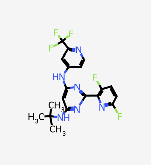 CC(C)(C)Nc1cc(Nc2ccnc(C(F)(F)F)c2)nc(-c2nc(F)ccc2F)n1